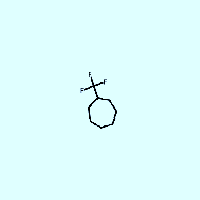 FC(F)(F)[C]1CCCCCC1